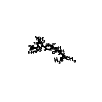 CN(C)CCNC(=O)Nc1ccc(-c2nc(N)cc(C3(S(=O)O)CC3)n2)cc1